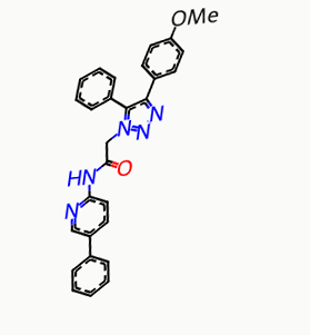 COc1ccc(-c2nnn(CC(=O)Nc3ccc(-c4ccccc4)cn3)c2-c2ccccc2)cc1